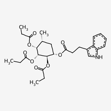 CCC(=O)O[C@@H]1[C@H](OC(=O)CC)[C@H](C)C[C@H](OC(=O)CCc2c[nH]c3ccccc23)[C@H]1OC(=O)CC